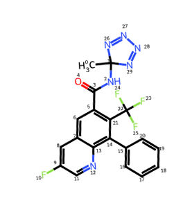 CC1(NC(=O)c2cc3cc(F)cnc3c(-c3ccccc3)c2C(F)(F)F)N=NN=N1